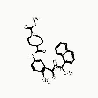 Cc1ccc(NC(=O)C2CCN(C(=O)OC(C)(C)C)CC2)cc1C(=O)N[C@H](C)c1cccc2ccccc12